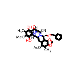 COc1c(C)c(O)c2c(c1O)[C@H]1C3=Cc4c(OC(C)=O)c(C)c5c(c4[C@H](COCc4ccccc4)N3[C@@H](C#N)[C@H](C2=O)N1C)OCO5